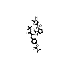 Cc1nc(S(=O)(=O)N2CCC[C@H]2C(=O)N[C@@H](Cc2ccc(OC(=O)N(C)C)cc2)C(=O)OC(C)(C)C)c[nH]1